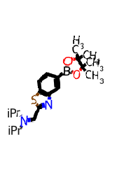 CC(C)N(Cc1nc2cc(B3OC(C)(C)C(C)(C)O3)ccc2s1)C(C)C